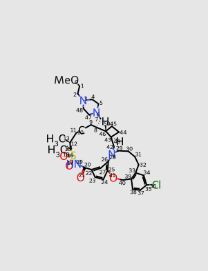 COCCN1CCN(C[C@H]2CCC[C@H](C)[C@@H](C)S(=O)(=O)NC(=O)c3ccc4c(c3)N(CCCCc3cc(Cl)ccc3CO4)C[C@@H]3CC[C@@H]23)CC1